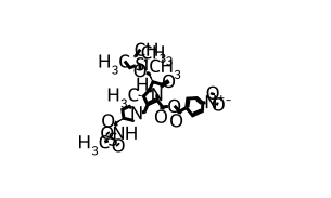 CC[Si](CC)(CC)OC(C)[C@H]1C(=O)N2C(C(=O)OC(=O)c3ccc([N+](=O)[O-])cc3)=C(CN3CC[C@H](C(=O)NS(C)(=O)=O)C3)[C@H](C)[C@H]12